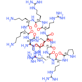 N=C(N)NCCC[C@@H](NC(=O)[C@@H](CCCCN)NC(=O)[C@@H](CCCCN)NC(=O)[C@@H](CCCNC(=N)N)NC(=O)[C@@H](CCCNC(=N)N)NC(=O)[C@@H](CCC(N)=O)NC(=O)[C@@H](CCCNC(=N)N)NC(=O)[C@@H](CCCNC(=N)N)NC(=O)[C@@H](CCCNC(=N)N)NC(=O)[C@H]1CCCN1)C(=O)NCC(=O)O